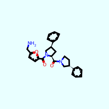 NCc1ccc(C(=O)N2C[C@@H](c3ccccc3)C[C@H]2C(=O)N2CC[C@H](c3ccccc3)C2)o1